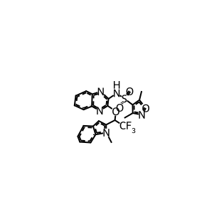 Cc1noc(C)c1S(=O)(=O)Nc1nc2ccccc2nc1OC(c1cc2ccccc2n1C)C(F)(F)F